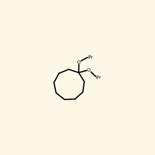 CC(C)OC1(OC(C)C)CCCCCCCC1